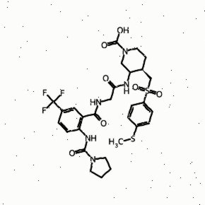 CSc1ccc(S(=O)(=O)C[C@@H]2CCN(C(=O)O)CC2NC(=O)CNC(=O)c2cc(C(F)(F)F)ccc2NC(=O)N2CCCC2)cc1